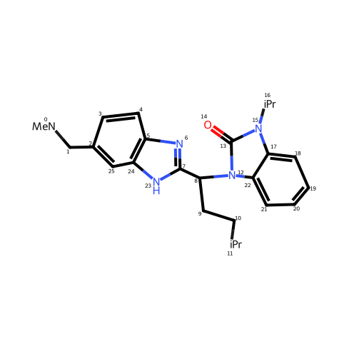 CNCc1ccc2nc(C(CCC(C)C)n3c(=O)n(C(C)C)c4ccccc43)[nH]c2c1